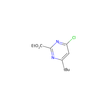 CCOC(=O)c1nc(Cl)cc(C(C)(C)C)n1